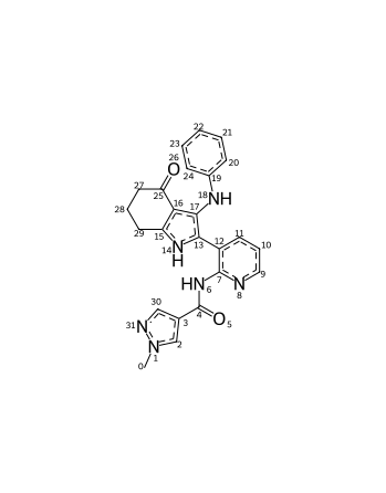 Cn1cc(C(=O)Nc2ncccc2-c2[nH]c3c(c2Nc2ccccc2)C(=O)CCC3)cn1